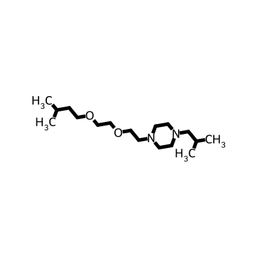 CC(C)CCOCCOCCN1CCN(CC(C)C)CC1